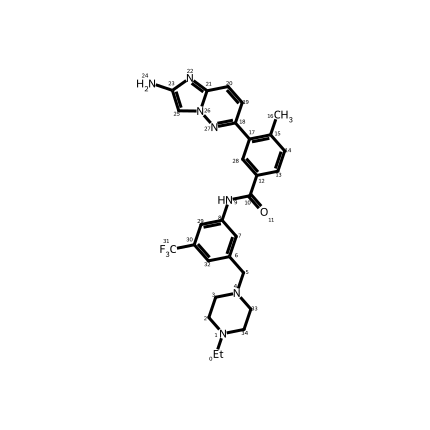 CCN1CCN(Cc2cc(NC(=O)c3ccc(C)c(-c4ccc5nc(N)cn5n4)c3)cc(C(F)(F)F)c2)CC1